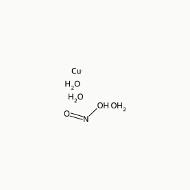 O.O.O.O=NO.[Cu]